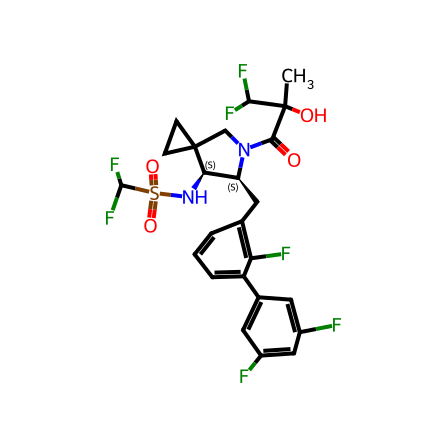 CC(O)(C(=O)N1CC2(CC2)[C@H](NS(=O)(=O)C(F)F)[C@@H]1Cc1cccc(-c2cc(F)cc(F)c2)c1F)C(F)F